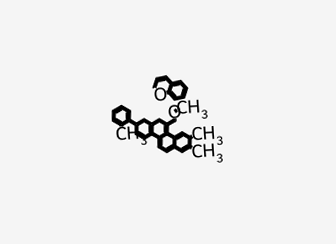 C1=Cc2ccccc2OC1.COCC1=c2c(ccc3c2=CC(C)C(C)=C3)C2=C(C1)CC(c1ccccc1C)C=C2